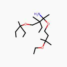 CCOC(C)(C)CCOC(C)(N)C(C)(CC)COC(C)(CC)CC